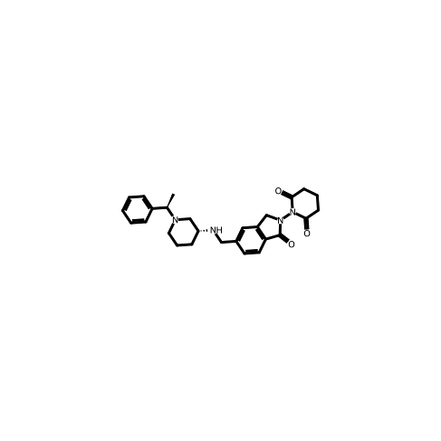 C[C@H](c1ccccc1)N1CCC[C@@H](NCc2ccc3c(c2)CN(N2C(=O)CCCC2=O)C3=O)C1